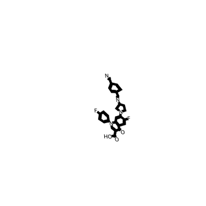 N#Cc1ccc(C=NC2CCN(c3cc4c(cc3F)c(=O)c(C(=O)O)cn4-c3ccc(F)cc3)C2)cc1